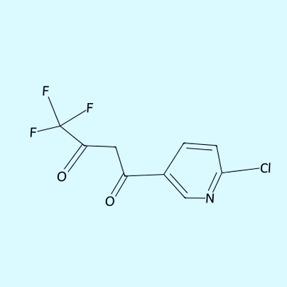 O=C(CC(=O)C(F)(F)F)c1ccc(Cl)nc1